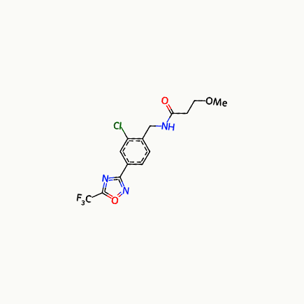 COCCC(=O)NCc1ccc(-c2noc(C(F)(F)F)n2)cc1Cl